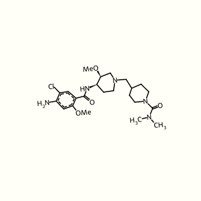 COc1cc(N)c(Cl)cc1C(=O)N[C@@H]1CCN(CC2CCN(C(=O)N(C)C)CC2)C[C@@H]1OC